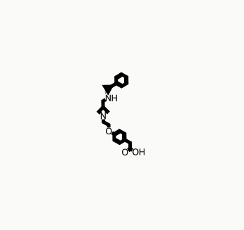 O=C(O)Cc1ccc(OCCN2CC(CN[C@@H]3CC3c3ccccc3)C2)cc1